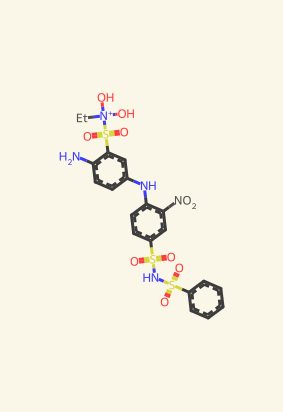 CC[N+](O)(O)S(=O)(=O)c1cc(Nc2ccc(S(=O)(=O)NS(=O)(=O)c3ccccc3)cc2[N+](=O)[O-])ccc1N